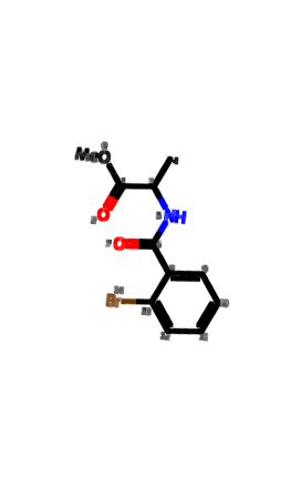 COC(=O)C(C)NC(=O)c1ccccc1Br